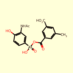 CC(=O)Nc1cc([As](=O)(O)OC(=O)c2cc(C)cc(C(=O)O)c2)ccc1O